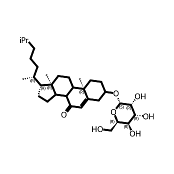 CC(C)CCC[C@@H](C)[C@H]1CCC2C3C(=O)C=C4CC(O[C@H]5O[C@H](CO)[C@H](O)[C@@H](O)[C@H]5O)CC[C@]4(C)C3CC[C@@]21C